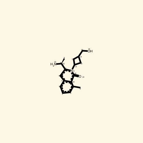 Cc1cccc2cc([C@H](C)N)n(C3CC(CO)C3)c(=O)c12